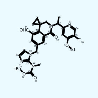 CCOc1cc(C(C)N2CC3(CC3)c3c(C=O)cc(Cn4ccnc4N(C)C(=O)OC(C)(C)C)cc3C2=O)ncc1F